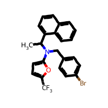 CC(c1cccc2ccccc12)N(Cc1ccc(Br)cc1)c1ccc(C(F)(F)F)o1